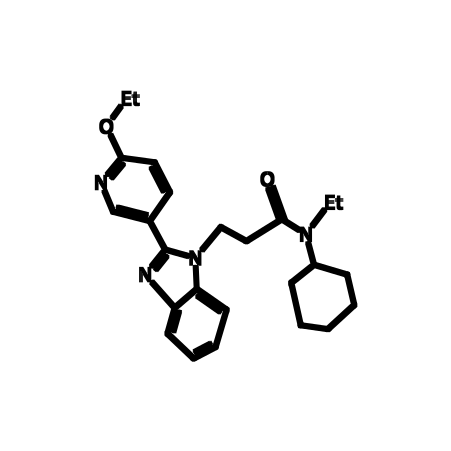 CCOc1ccc(-c2nc3ccccc3n2CCC(=O)N(CC)C2CCCCC2)cn1